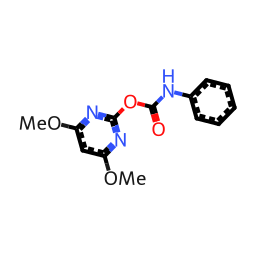 COc1cc(OC)nc(OC(=O)Nc2ccccc2)n1